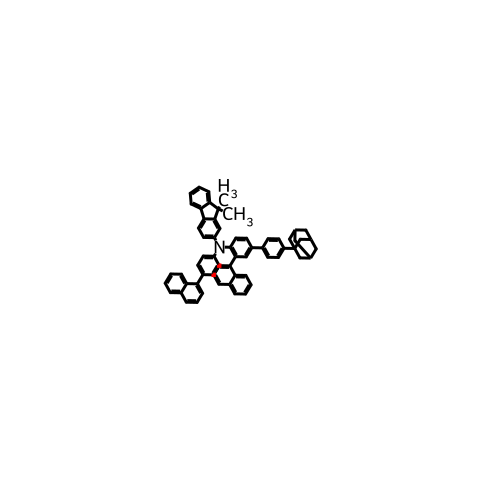 CC1(C)c2ccccc2-c2ccc(N(c3ccc(-c4cccc5ccccc45)cc3)c3ccc(-c4ccc(C56CC7CC(CC(C7)C5)C6)cc4)cc3-c3cccc4ccccc34)cc21